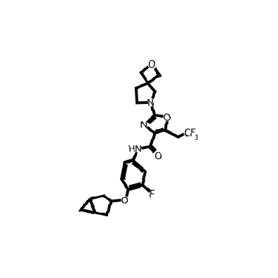 O=C(Nc1ccc(OC2CC3CC3C2)c(F)c1)c1nc(N2CCC3(COC3)C2)oc1CC(F)(F)F